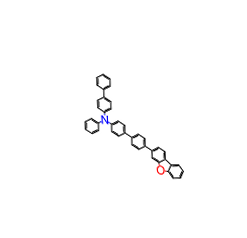 c1ccc(-c2ccc(N(c3ccccc3)c3ccc(-c4ccc(-c5ccc6c(c5)oc5ccccc56)cc4)cc3)cc2)cc1